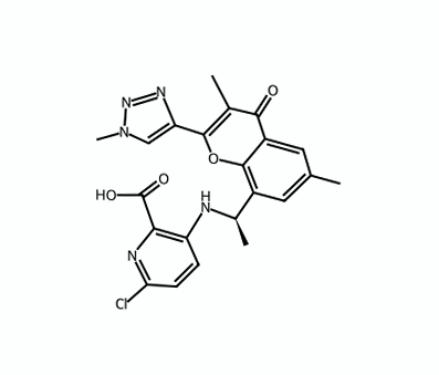 Cc1cc([C@@H](C)Nc2ccc(Cl)nc2C(=O)O)c2oc(-c3cn(C)nn3)c(C)c(=O)c2c1